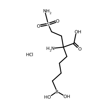 Cl.NC(CCCCB(O)O)(CCS(N)(=O)=O)C(=O)O